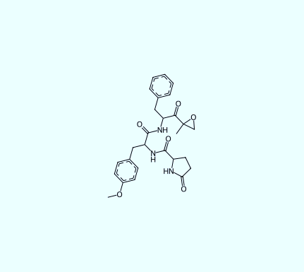 COc1ccc(CC(NC(=O)C2CCC(=O)N2)C(=O)NC(Cc2ccccc2)C(=O)C2(C)CO2)cc1